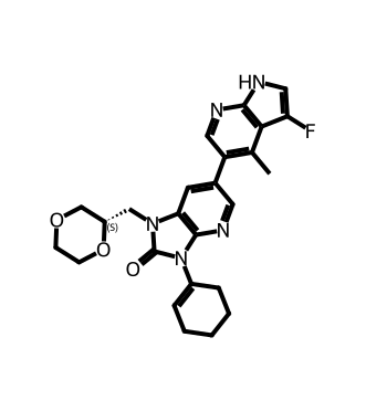 Cc1c(-c2cnc3c(c2)n(C[C@H]2COCCO2)c(=O)n3C2=CCCCC2)cnc2[nH]cc(F)c12